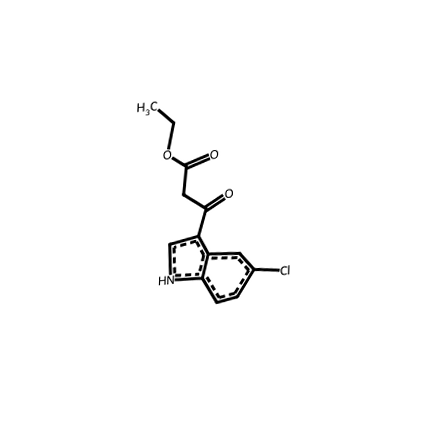 CCOC(=O)CC(=O)c1c[nH]c2ccc(Cl)cc12